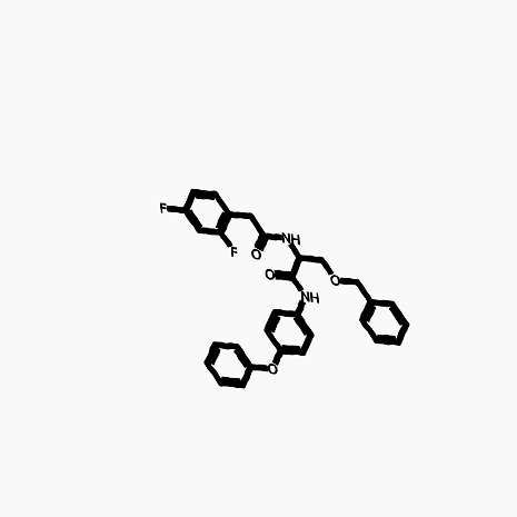 O=C(Cc1ccc(F)cc1F)NC(COCc1ccccc1)C(=O)Nc1ccc(Oc2ccccc2)cc1